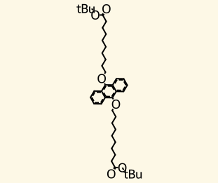 CC(C)(C)OC(=O)CCCCCCCCCOc1c2ccccc2c(OCCCCCCCCCC(=O)OC(C)(C)C)c2ccccc12